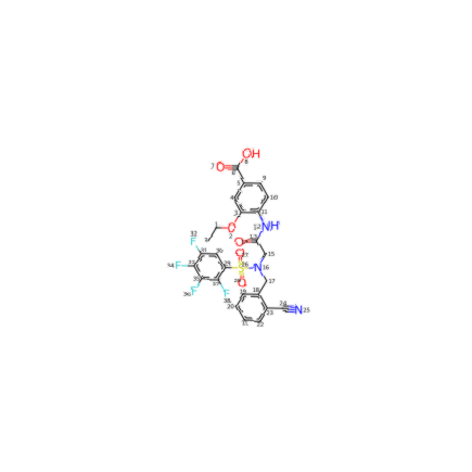 CCOc1cc(C(=O)O)ccc1NC(=O)CN(Cc1ccccc1C#N)S(=O)(=O)c1cc(F)c(F)c(F)c1F